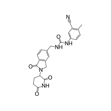 Cc1ccc(NC(=O)NCc2ccc3c(c2)CN(C2CCC(=O)NC2=O)C3=O)cc1C#N